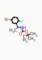 CC(NC(=O)OC(C)(C)C)c1cc(Br)ccc1F